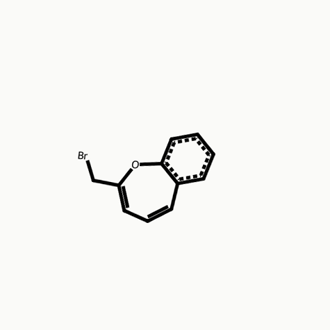 BrCC1=CC=Cc2ccccc2O1